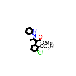 COC(=O)/C(=C(/C)Nc1ccccc1)c1cccc(Cl)c1C(=O)O